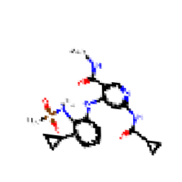 CONC(=O)c1cnc(NC(=O)C2CC2)cc1Nc1cccc(C2CC2)c1N(C)S(C)(=O)=O